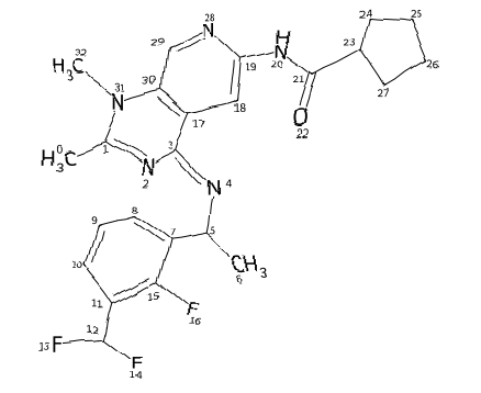 Cc1nc(=NC(C)c2cccc(C(F)F)c2F)c2cc(NC(=O)C3CCCC3)ncc2n1C